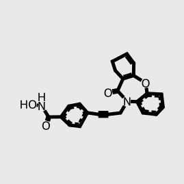 O=C(NO)c1ccc(C#CCN2C(=O)C3=C(C=CCC3)Oc3ccccc32)cc1